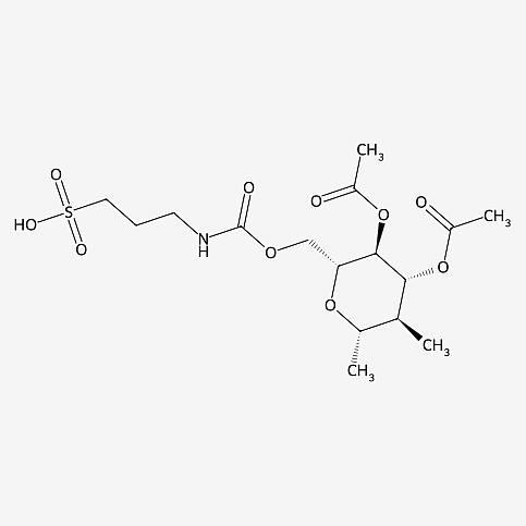 CC(=O)O[C@@H]1[C@@H](C)[C@H](C)O[C@H](COC(=O)NCCCS(=O)(=O)O)[C@H]1OC(C)=O